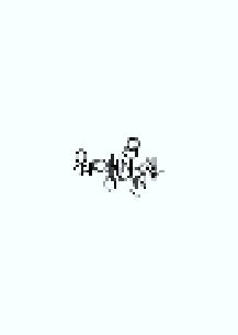 CCc1nc2c(cnn2CC)c(NC2CCOCC2)c1CNC(=O)c1cccc(N2CCCC2=O)c1